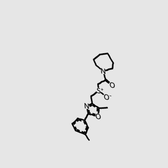 Cc1cccc(-c2nc(C[S+]([O-])CC(=O)N3CCCCCC3)c(C)o2)c1